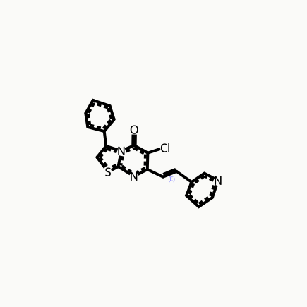 O=c1c(Cl)c(/C=C/c2cccnc2)nc2scc(-c3ccccc3)n12